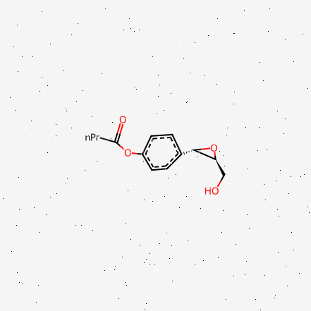 CCCC(=O)Oc1ccc([C@@H]2O[C@H]2CO)cc1